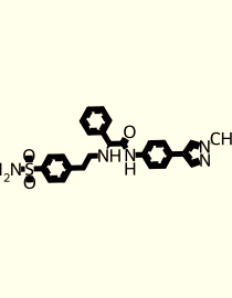 Cn1cc(-c2ccc(NC(=O)[C@H](NCCc3ccc(S(N)(=O)=O)cc3)c3ccccc3)cc2)cn1